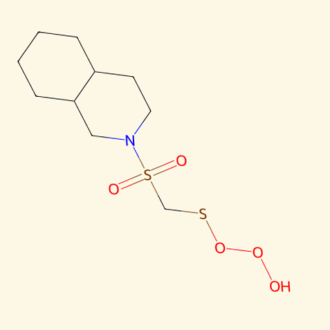 O=S(=O)(CSOOO)N1CCC2CCCCC2C1